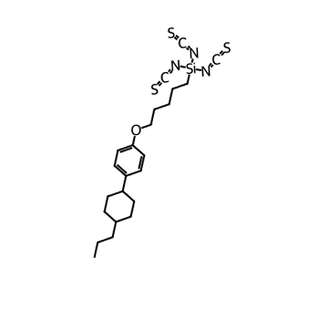 CCCC1CCC(c2ccc(OCCCCC[Si](N=C=S)(N=C=S)N=C=S)cc2)CC1